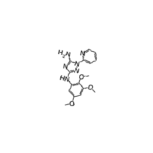 COc1cc(Nc2nc(N)n(-c3ccccn3)n2)c(OC)c(OC)c1